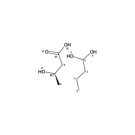 CCCC(O)O.C[C@@H](O)CC(=O)O